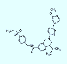 CCS(=O)(=O)c1ccc(CNC(=O)c2ccc3c(c2)CN(c2ncc(-c4ccnc(OC)c4)cn2)C[C@H]3C(C)C)cc1